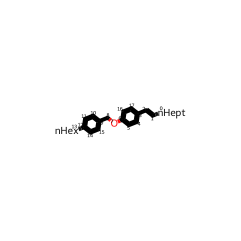 CCCCCCCC=Cc1ccc(OCc2ccc(CCCCCC)cc2)cc1